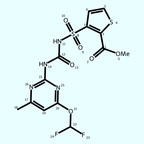 COC(=O)c1sccc1S(=O)(=O)NC(=O)Nc1nc(C)cc(OC(F)F)n1